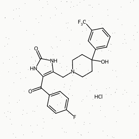 Cl.O=C(c1ccc(F)cc1)c1[nH]c(=O)[nH]c1CN1CCC(O)(c2cccc(C(F)(F)F)c2)CC1